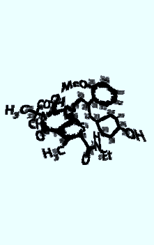 CCNC(=O)c1sc2c(c1C)c(=O)n(C(C)(C)C(=O)O)c(=O)n2C[C@H](C[C@H]1CC[C@@H](O)CC1)c1ccccc1OC